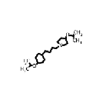 CC(C)OC1CCC(CCCCN2CCC(OC(C)C)CC2)CC1